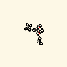 c1ccc(-c2cccc3cccc(-c4ccccc4N(c4ccc(-c5ccc6c(c5)C(c5ccccc5)(c5ccccc5)c5ccccc5-6)cc4)c4ccc(-c5ccc6c(c5)oc5ccccc56)cc4)c23)cc1